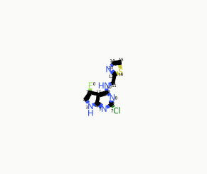 Fc1c[nH]c2nc(Cl)nc(NCc3nccs3)c12